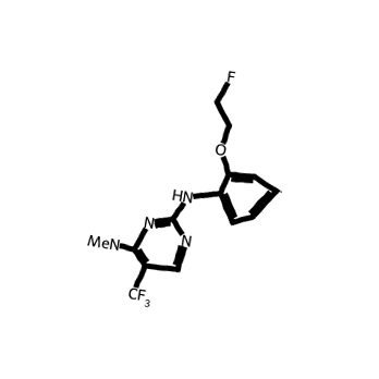 CNc1nc(Nc2cc[c]cc2OCCF)ncc1C(F)(F)F